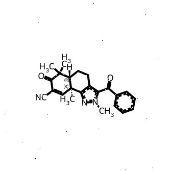 Cn1nc2c(c1C(=O)c1ccccc1)CC[C@H]1C(C)(C)C(=O)C(C#N)=C[C@]21C